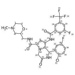 CN1CCOC(CNC(=O)c2cc(NC(=O)c3cc(F)cc(C(F)(F)F)c3)c3n2CC(=O)NC3c2cc(F)ccc2Cl)C1